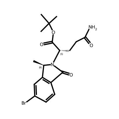 C[C@@H]1c2cc(Br)ccc2C(=O)N1[C@@H](CCC(N)=O)C(=O)OC(C)(C)C